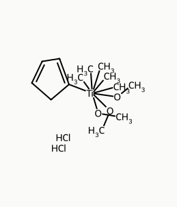 C[O][Ti]([CH3])([CH3])([CH3])([CH3])([CH3])([O]C)([O]C)[C]1=CC=CC1.Cl.Cl